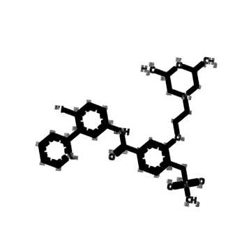 CC1CN(CCOc2cc(C(=O)Nc3ccc(I)c(-c4ccccn4)c3)ccc2CS(C)(=O)=O)CC(C)O1